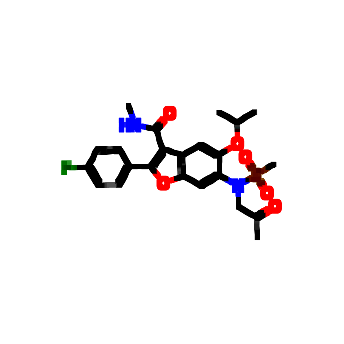 CNC(=O)c1c(-c2ccc(F)cc2)oc2cc(N(CC(C)=O)S(C)(=O)=O)c(OC(C)C)cc12